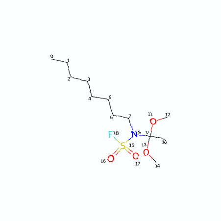 CCCCCCCCN(C(C)(OC)OC)S(=O)(=O)F